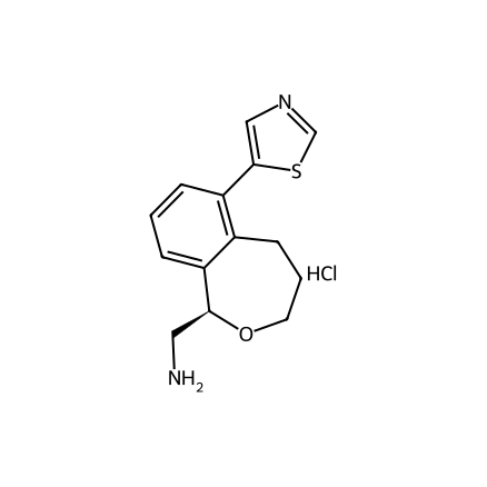 Cl.NC[C@@H]1OCCCc2c(-c3cncs3)cccc21